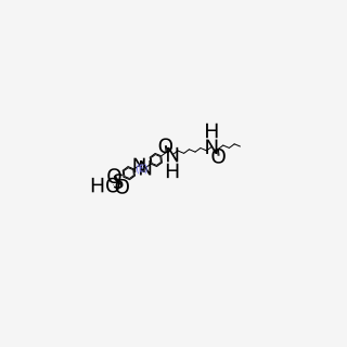 CCCCC(=O)NCCCCCCNC(=O)c1ccc(/N=N/c2ccc(S(=O)(=O)O)cc2)cc1